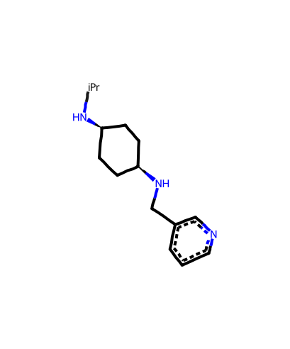 CC(C)N[C@H]1CC[C@@H](NCc2cccnc2)CC1